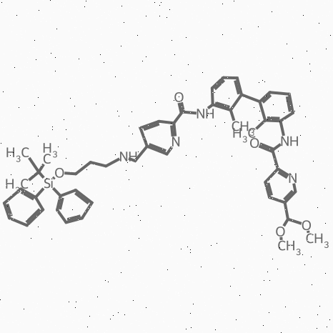 COC(OC)c1ccc(C(=O)Nc2cccc(-c3cccc(NC(=O)c4ccc(CNCCCO[Si](c5ccccc5)(c5ccccc5)C(C)(C)C)cn4)c3C)c2C)nc1